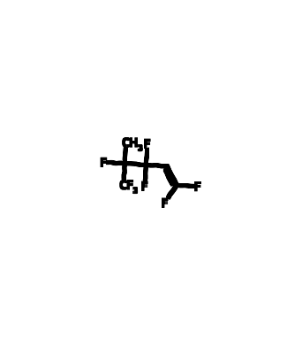 CC(F)(C(F)(F)F)C(F)(F)C=C(F)F